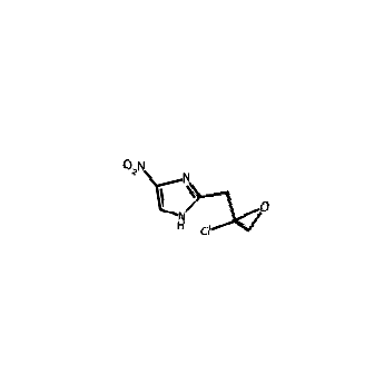 O=[N+]([O-])c1c[nH]c(CC2(Cl)CO2)n1